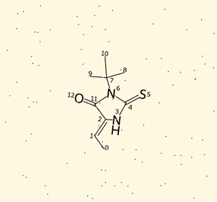 C/C=C1\NC(=S)N(C(C)(C)C)C1=O